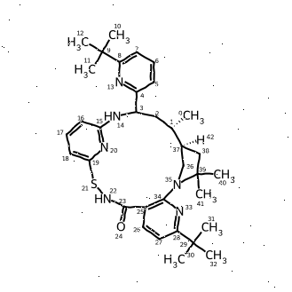 C[C@H]1CC(c2cccc(C(C)(C)C)n2)Nc2cccc(n2)SNC(=O)c2ccc(C(C)(C)C)nc2N2C[C@@H]1CC2(C)C